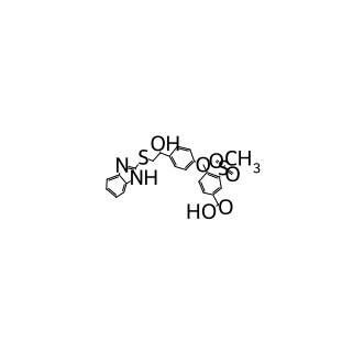 CS(=O)(=O)c1cc(C(=O)O)ccc1Oc1ccc(C(O)CSc2nc3ccccc3[nH]2)cc1